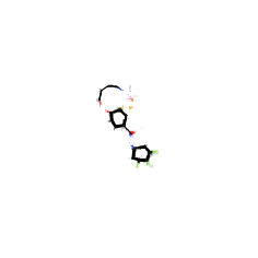 CCN1CCCCOc2ccc(C(=O)Nc3cc(F)c(F)c(F)c3)cc2S1(=O)=O